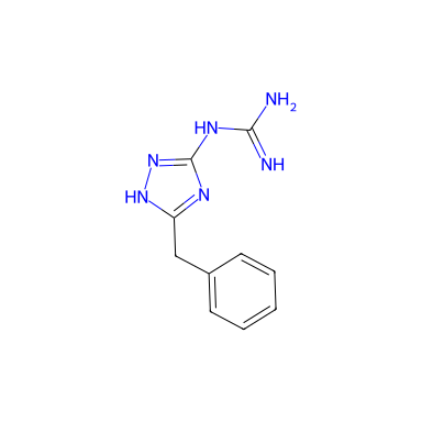 N=C(N)Nc1n[nH]c(Cc2ccccc2)n1